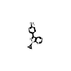 Nc1ccc(-c2nn(C3CC3)c3ncn[c]c23)cn1